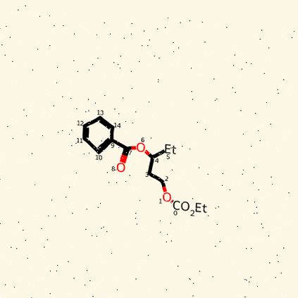 CCOC(=O)OCCC(CC)OC(=O)c1ccccc1